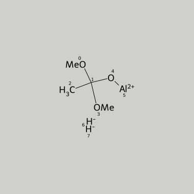 COC(C)(OC)[O][Al+2].[H-].[H-]